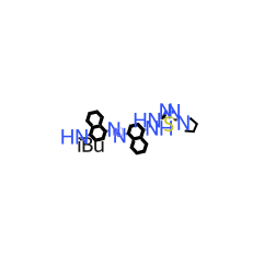 CCC(C)Nc1ccc(/N=N/c2ccc(NNc3nnc(N4CCCC4)s3)c3ccccc23)c2ccccc12